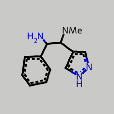 CNC(c1cn[nH]c1)C(N)c1ccccc1